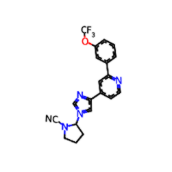 N#CN1CCCC1n1cnc(-c2ccnc(-c3cccc(OC(F)(F)F)c3)c2)c1